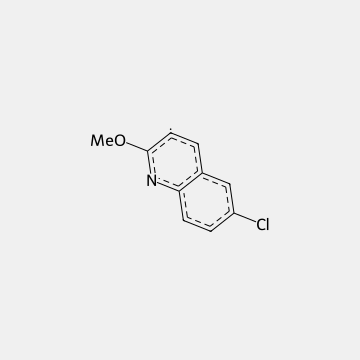 COc1[c]cc2cc(Cl)ccc2n1